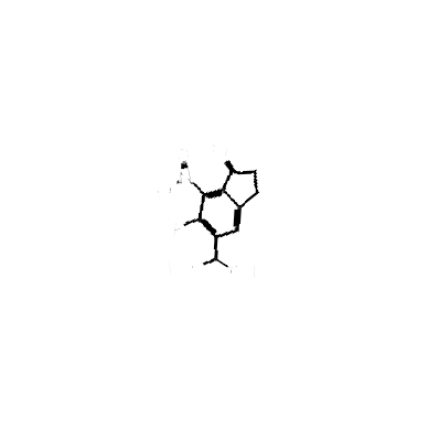 CC(C)c1cc2c(c([N+](=O)[O-])c1F)C(=O)CC2